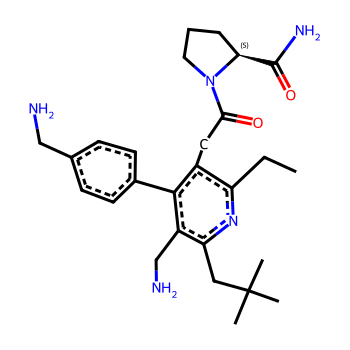 CCc1nc(CC(C)(C)C)c(CN)c(-c2ccc(CN)cc2)c1CC(=O)N1CCC[C@H]1C(N)=O